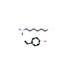 C=Cc1ccccc1.CCCCCCCCCCCCCCCCN(C)C.O=S(=O)(O)O